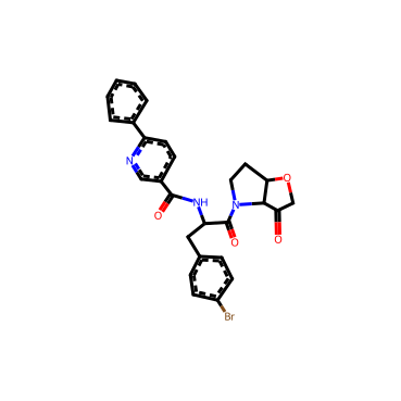 O=C(NC(Cc1ccc(Br)cc1)C(=O)N1CCC2OCC(=O)C21)c1ccc(-c2ccccc2)nc1